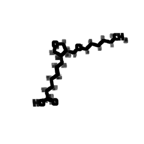 CCCCCCOC[C@@H]1COC[C@@H]1CC=CCCCC(=O)O